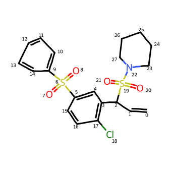 C=CC(c1cc(S(=O)(=O)c2ccccc2)ccc1Cl)S(=O)(=O)N1CCCCC1